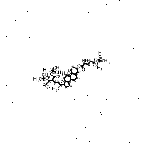 C[C@H](CCC(C(=O)OC(C)(C)C)C(=O)OC(C)(C)C)C1CCC2C3CCC4C[C@H](OC(=O)[C@@H](N)CCC(=O)OC(C)(C)C)CC[C@]4(C)C3CC[C@@]21C